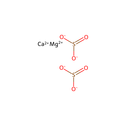 O=S([O-])[O-].O=S([O-])[O-].[Ca+2].[Mg+2]